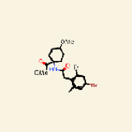 CCc1cc(Br)cc(C)c1CC(=O)N[C@]1(C(=O)OC)CC[C@H](OC)CC1